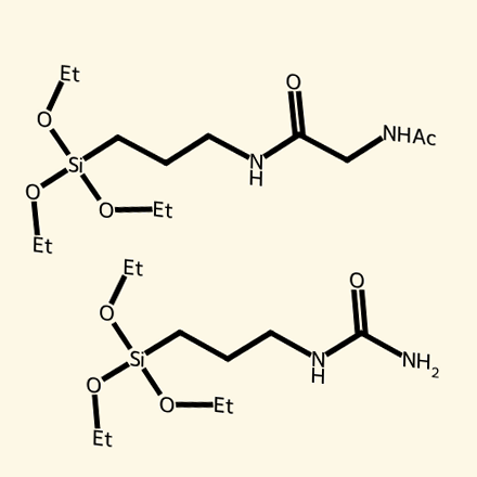 CCO[Si](CCCNC(=O)CNC(C)=O)(OCC)OCC.CCO[Si](CCCNC(N)=O)(OCC)OCC